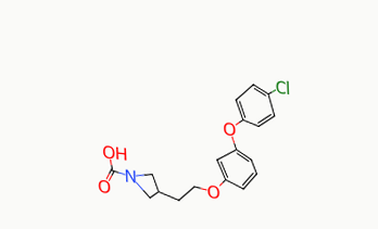 O=C(O)N1CC(CCOc2cccc(Oc3ccc(Cl)cc3)c2)C1